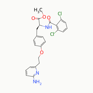 COC(=O)[C@H](Cc1ccc(OCCc2cccc(N)n2)cc1)NC(=O)c1c(Cl)cccc1Cl